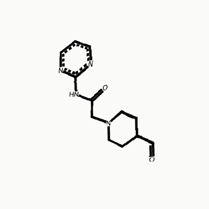 O=CC1CCN(CC(=O)Nc2ncccn2)CC1